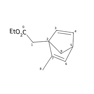 CCOC(=O)CC12C=CC(C=C1C)C2